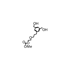 COC(=O)OCCOCCCc1cc(CO)cc(CO)c1